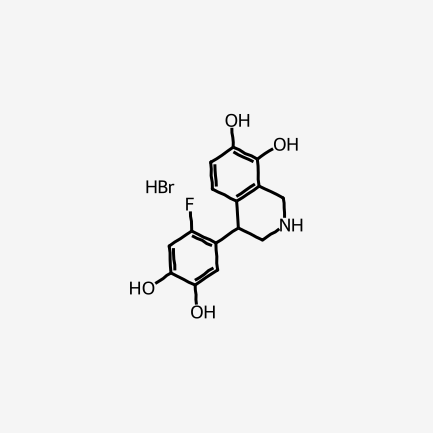 Br.Oc1cc(F)c(C2CNCc3c2ccc(O)c3O)cc1O